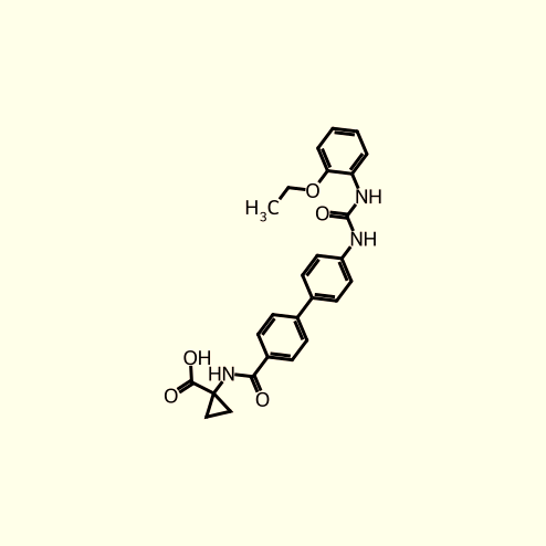 CCOc1ccccc1NC(=O)Nc1ccc(-c2ccc(C(=O)NC3(C(=O)O)CC3)cc2)cc1